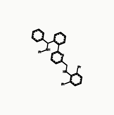 CC(C)NC(c1ccccc1)c1ccccc1-c1cccc(CNc2c(C(C)C)cccc2C(C)C)n1